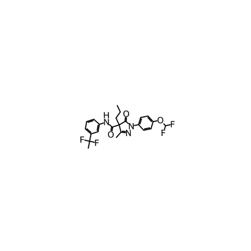 CCCC1(C(=O)Nc2cccc(C(C)(F)F)c2)C(=O)N(c2ccc(OC(F)F)cc2)N=C1C